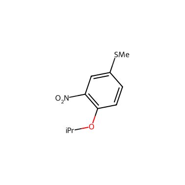 CSc1ccc(OC(C)C)c([N+](=O)[O-])c1